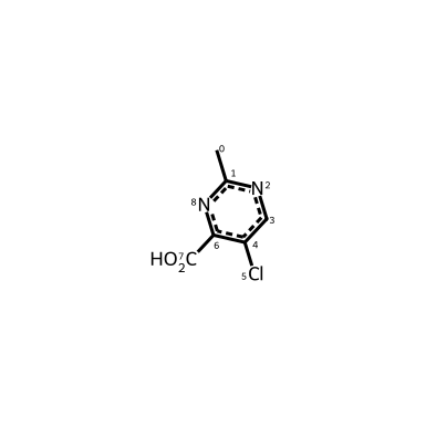 Cc1ncc(Cl)c(C(=O)O)n1